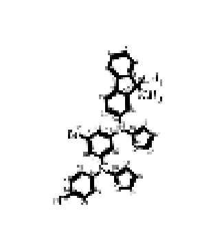 CC1(C)c2ccccc2-c2ccc(N(c3cc(Br)cc(N(c4ccc(F)cc4)c4cccs4)c3)c3cccs3)cc21